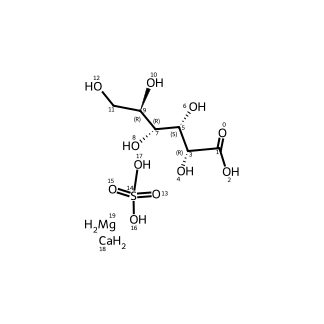 O=C(O)[C@H](O)[C@@H](O)[C@H](O)[C@H](O)CO.O=S(=O)(O)O.[CaH2].[MgH2]